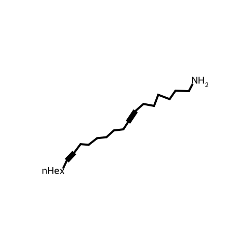 CCCCCCC#CCCCCCCC#CCCCCCCN